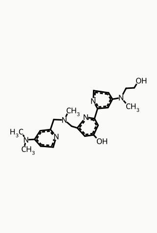 CN(Cc1cc(N(C)C)ccn1)Cc1cc(O)cc(-c2cc(N(C)CCO)ccn2)n1